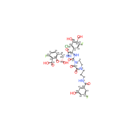 O=C(NCCCN1CCN(C(=O)NC(C(=O)N[C@H]2Cc3ccc(F)c(C(=O)O)c3OB2O)c2cc(F)c(O)c(O)c2Cl)C(=O)C1=O)c1cc(O)cc(F)c1